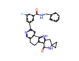 O=C(NCc1ccccc1)c1cc(F)cc(-c2cc3c(cn2)CCc2c-3[nH]c3c2C(=O)NC2(CC2)C3)c1